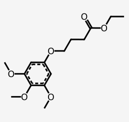 CCOC(=O)CCCOc1cc(OC)c(OC)c(OC)c1